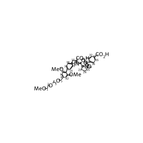 COCCOCCOCc1cc(OC)c(-c2ccc(C[C@H](NC(=O)[C@@H]3CCCN3S(=O)(=O)c3ccc(C(=O)O)cc3)C(=O)O)cc2)c(OC)c1